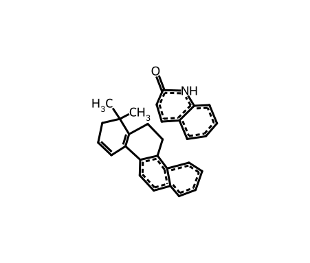 CC1(C)CC=CC2=C1CCc1c2ccc2ccccc12.O=c1ccc2ccccc2[nH]1